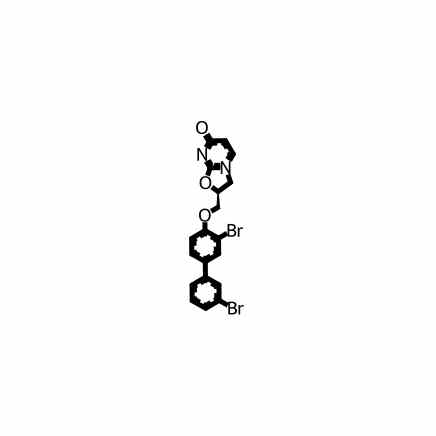 O=c1ccn2c(n1)O[C@H](COc1ccc(-c3cccc(Br)c3)cc1Br)C2